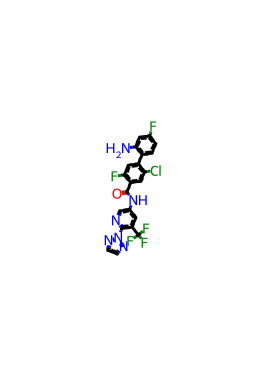 Nc1cc(F)ccc1-c1cc(F)c(C(=O)Nc2cnc(-n3nccn3)c(C(F)(F)F)c2)cc1Cl